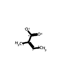 C/C=C(/C)C([O])=O